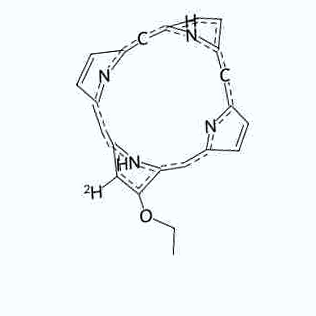 [2H]c1c(OCC)c2cc3nc(cc4ccc(cc5nc(cc1[nH]2)C=C5)[nH]4)C=C3